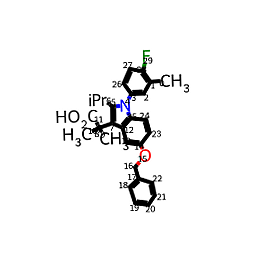 Cc1cc(-n2c(C(C)C)c(C(C)(C)C(=O)O)c3cc(OCc4ccccc4)ccc32)ccc1F